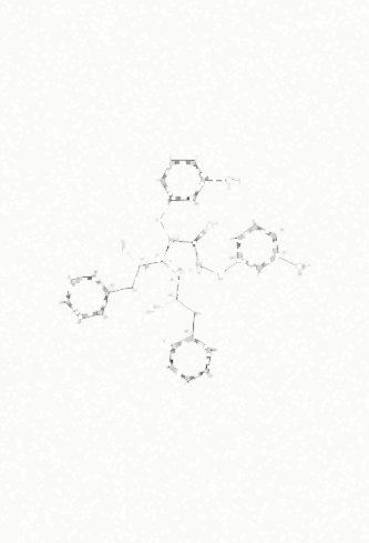 O=C1N(Cc2cccc(O)c2)[C@H]([C@@H](F)Cc2ccccc2)[C@@H]([C@@H](F)Cc2ccccc2)N1Cc1cccc(O)c1